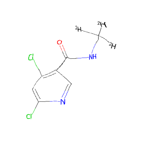 [2H]C([2H])([2H])NC(=O)c1cnc(Cl)cc1Cl